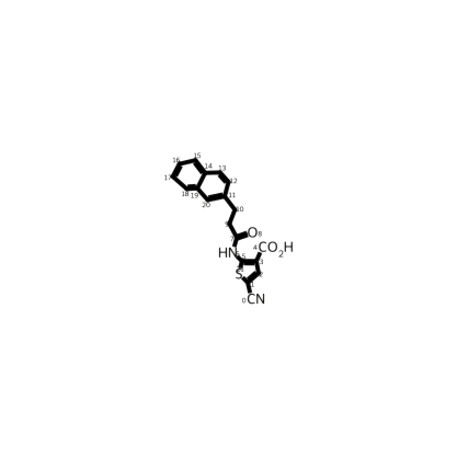 N#Cc1cc(C(=O)O)c(NC(=O)CCc2ccc3ccccc3c2)s1